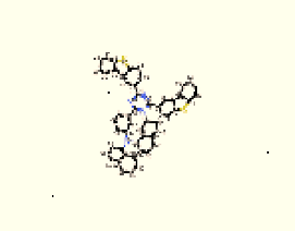 c1cc(-c2nc(-c3ccc4sc5ccccc5c4c3)nc(-c3ccc4sc5ccccc5c4c3)n2)cc(N2c3c(ccc4ccccc34)-c3cccc4cccc2c34)c1